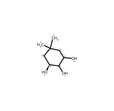 CC1(C)CC(O)C(O)[C@@H](O)C1